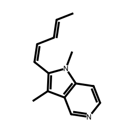 C/C=C/C=C\c1c(C)c2cnccc2n1C